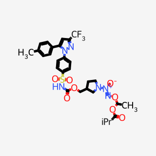 Cc1ccc(-c2cc(C(F)(F)F)nn2-c2ccc(S(=O)(=O)NC(=O)OCC3CCN([N+]([O-])=NOC(C)OC(=O)C(C)C)C3)cc2)cc1